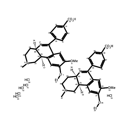 CCOc1cc2c(cc1OC)C(c1ccc(C(=O)O)cc1)=N[C@@H]1CCN(C)C[C@H]21.CCOc1cc2c(cc1OC)C(c1ccc(C(=O)O)cc1)=N[C@@H]1CCN(C)C[C@H]21.Cl.Cl.Cl.Cl.Cl.Cl